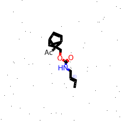 C/C=C/CNC(=O)OCC1(C(C)=O)CC2C=CC1C2